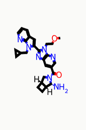 COCCn1c(-c2cc3cccnc3n2CC2CC2)nc2cc(C(=O)N3C[C@H]4CC[C@H]4[C@H]3N)cnc21